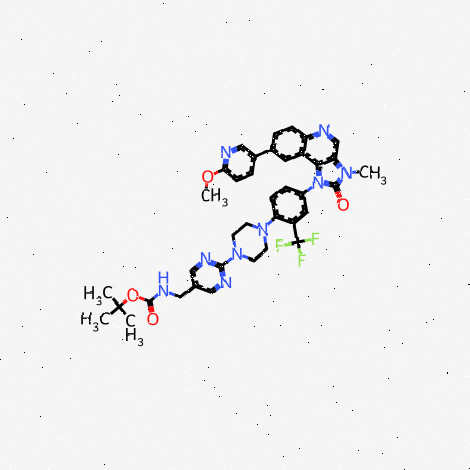 COc1ccc(-c2ccc3ncc4c(c3c2)n(-c2ccc(N3CCN(c5ncc(CNC(=O)OC(C)(C)C)cn5)CC3)c(C(F)(F)F)c2)c(=O)n4C)cn1